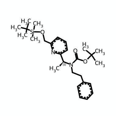 C[C@@H](c1cccc(CO[Si](C)(C)C(C)(C)C)n1)N(CCc1ccccc1)C(=O)OC(C)(C)C